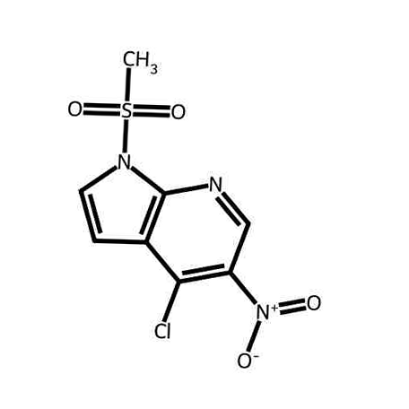 CS(=O)(=O)n1ccc2c(Cl)c([N+](=O)[O-])cnc21